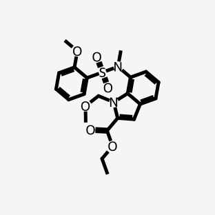 CCOC(=O)c1cc2cccc(N(C)S(=O)(=O)c3ccccc3OC)c2n1COC